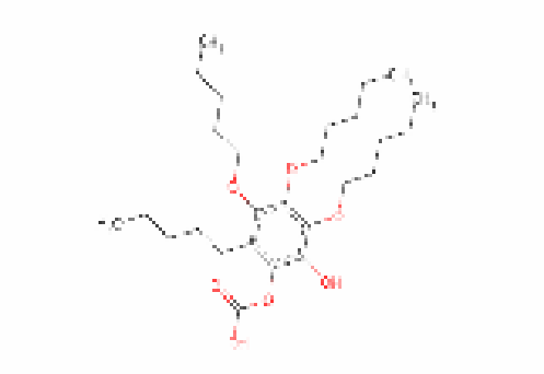 CCCCCOc1c(O)c(OC(=O)O)c(CCCCC)c(OCCCCC)c1OCCCCC